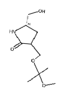 COC(C)(C)OCC1C[C@@H](CO)NC1=O